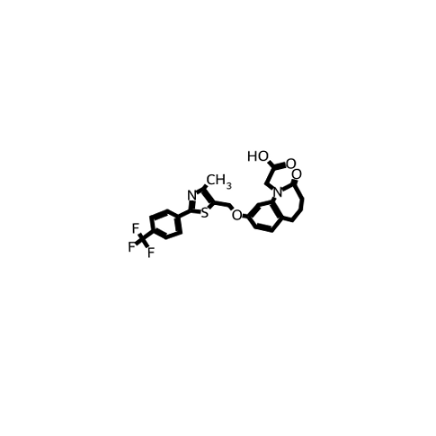 Cc1nc(-c2ccc(C(F)(F)F)cc2)sc1COc1ccc2c(c1)N(CC(=O)O)C(=O)CCC2